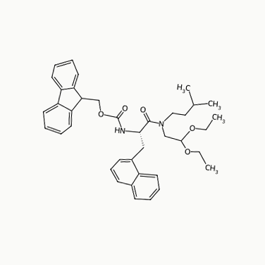 CCOC(CN(CCC(C)C)C(=O)[C@H](Cc1cccc2ccccc12)NC(=O)OCC1c2ccccc2-c2ccccc21)OCC